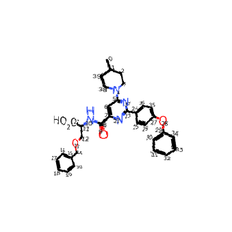 CC1CCN(c2cc(C(=O)NC(COCc3ccccc3)C(=O)O)nc(-c3ccc(Oc4ccccc4)cc3)n2)CC1